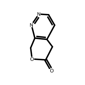 O=C1Cc2ccnnc2CO1